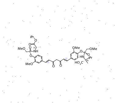 COCP(=O)(N[C@@H](C)C(=O)OC(C)C)Oc1ccc(/C=C/C(=O)CC(=O)/C=C/c2ccc(OP(=O)(COC)N[C@@](C)(C(=O)O)C(C)C)c(OC)c2)cc1OC